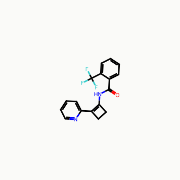 O=C(NC1=C(c2ccccn2)CC1)c1ccccc1C(F)(F)F